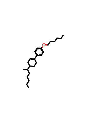 CCCCCCOc1ccc(C2=CCC(C(C)CCCCC)CC2)cc1